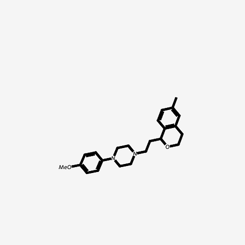 COc1ccc(N2CCN(CCC3OCCc4cc(C)ccc43)CC2)cc1